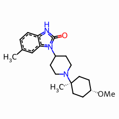 CO[C@H]1CC[C@](C)(N2CCC(n3c(=O)[nH]c4ccc(C)cc43)CC2)CC1